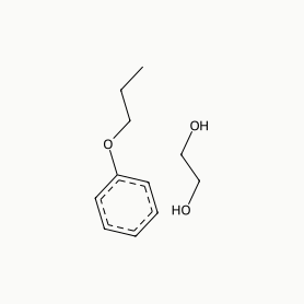 CCCOc1ccccc1.OCCO